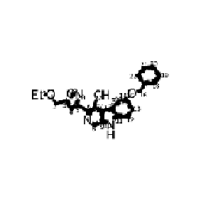 CCOCc1cc(-c2ncc3[nH]c4ccc(OCc5ccccc5)cc4c3c2C)no1